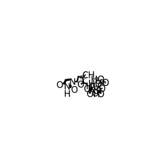 C[C@@H]1CC(n2ccc(=O)[nH]c2=O)OC1COP(=O)(O)OP(=O)(O)OP(=O)(O)O